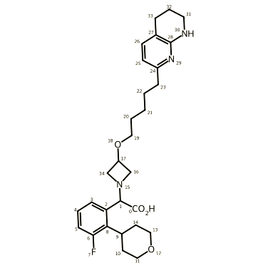 O=C(O)C(c1cccc(F)c1C1CCOCC1)N1CC(OCCCCCc2ccc3c(n2)NCCC3)C1